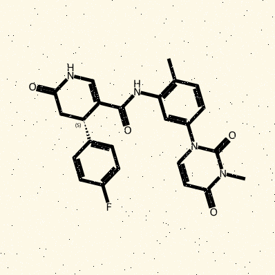 Cc1ccc(-n2ccc(=O)n(C)c2=O)cc1NC(=O)C1=CNC(=O)C[C@H]1c1ccc(F)cc1